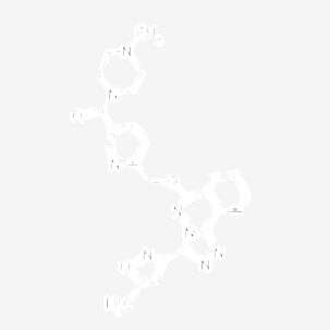 Cc1cc(-c2nnc3c4ccccc4c(OCc4ccc(C(=O)N5CCN(C)CC5)cn4)nn23)no1